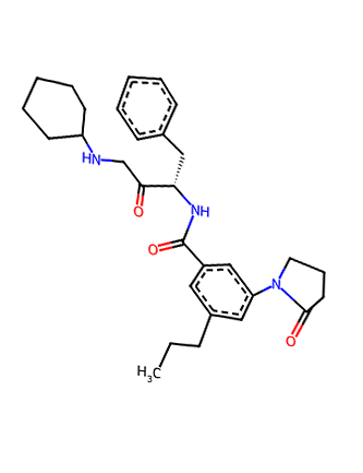 CCCc1cc(C(=O)N[C@@H](Cc2ccccc2)C(=O)CNC2CCCCC2)cc(N2CCCC2=O)c1